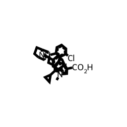 Cn1cc(C(=O)O)c2ccc(N3CC4CCC(C3)N4CCc3c(-c4c(Cl)cccc4Cl)noc3C3CC3)cc21